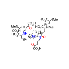 CC(C)C[C@H](NCCCC(=O)C(=O)O)C(=O)O.CNC(CC(C)C)C(=O)O.CN[C@@H](C)C(=O)O.CN[C@@H](CC(C)C)C(=O)O.O=C(O)C(=O)CCCN1C(=O)CC[C@H]1C(=O)O.O=C(O)[C@@H]1CCCN1